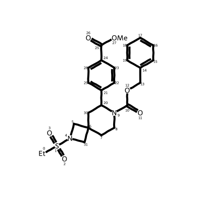 CCS(=O)(=O)N1CC2(CCN(C(=O)OCc3ccccc3)C(c3ccc(C(=O)OC)cc3)C2)C1